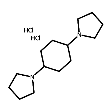 C1CCN(C2CCC(N3CCCC3)CC2)C1.Cl.Cl